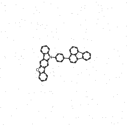 c1ccc2c(c1)-c1cccc3c(-c4ccc(-n5c6ccccc6c6cc7oc8ccccc8c7cc65)cc4)ccc-2c13